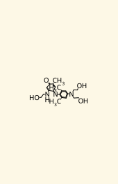 CC1=C/C(=N\c2c(C)cc(N(CCO)CCO)cc2C)C(NCCO)=CC1=O